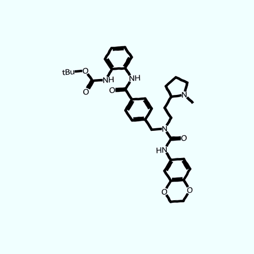 CN1CCCC1CCN(Cc1ccc(C(=O)Nc2ccccc2NC(=O)OC(C)(C)C)cc1)C(=O)Nc1ccc2c(c1)OCCO2